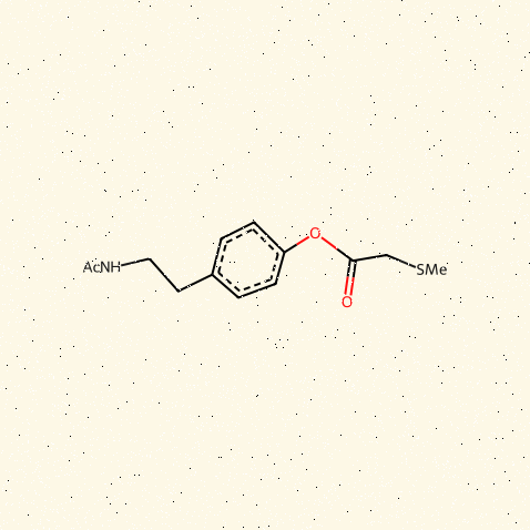 CSCC(=O)Oc1ccc(CCNC(C)=O)cc1